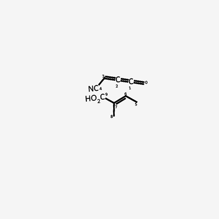 C=C=C=CC#N.CC=C(C)C(=O)O